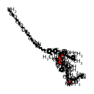 CCc1cc(OCCCCn2cc(COCCOCCOCCOCCOCCOCCOCCOCCN)nn2)ccc1-c1ccc(C[C@H](NC(=O)[C@H](CC(=O)O)NC(=O)[C@H](CO)NC(=O)[C@@H](NC(=O)C(C)(Cc2ccccc2F)NC(=O)[C@@H](NC(=O)CNC(=O)[C@H](Cc2nn[nH]n2)NC(=O)C(C)(C)C(=O)NCCc2cnc[nH]2)[C@@H](C)O)[C@@H](C)O)C(=O)N[C@@H](CCCc2cc(C)cc(C)c2)C(=O)O)cc1